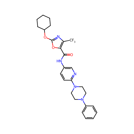 O=C(Nc1ccc(N2CCN(c3ccccc3)CC2)nc1)c1oc(OC2CCCCC2)nc1C(F)(F)F